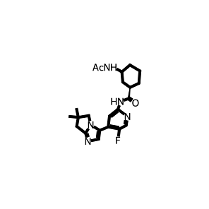 CC(=O)NC1CCC[C@@H](C(=O)Nc2cc(-c3cnc4n3CC(C)(C)C4)c(F)cn2)C1